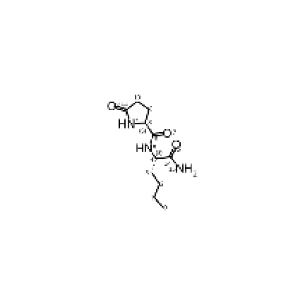 CCCC[C@H](NC(=O)[C@@H]1CCC(=O)N1)C(N)=O